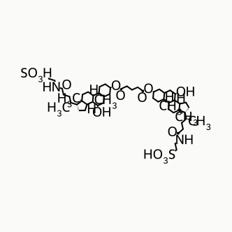 C[C@H](CCC(=O)NCCS(=O)(=O)O)[C@H]1CC[C@H]2C3[C@@H](O)CC4C[C@H](OC(=O)CCCC(=O)O[C@@H]5CC[C@@]6(C)C(C5)C[C@H](O)C5[C@@H]7CC[C@H]([C@H](C)CCC(=O)NCCS(=O)(=O)O)[C@@]7(C)CC[C@@H]56)CC[C@]4(C)[C@H]3CC[C@]12C